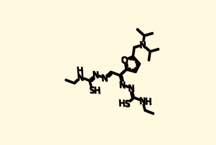 CCN/C(S)=N/N=C(/C=N/N=C(\S)NCC)c1ccc(CN(C(C)C)C(C)C)o1